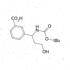 CC(C)(C)OC(=O)NC(CCO)c1cccc(C(=O)O)c1